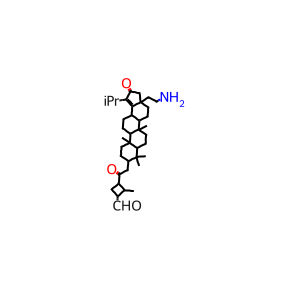 CC(C)C1=C2C3CCC4C(C)(CCC5C(C)(C)C(CC(=O)C6CC(C=O)C6C)CCC54C)C3CCC2(CCN)CC1=O